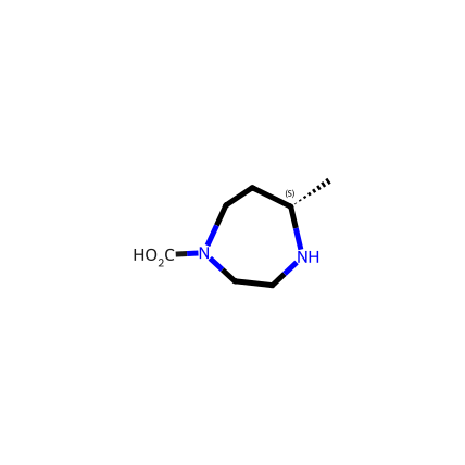 C[C@H]1CCN(C(=O)O)CCN1